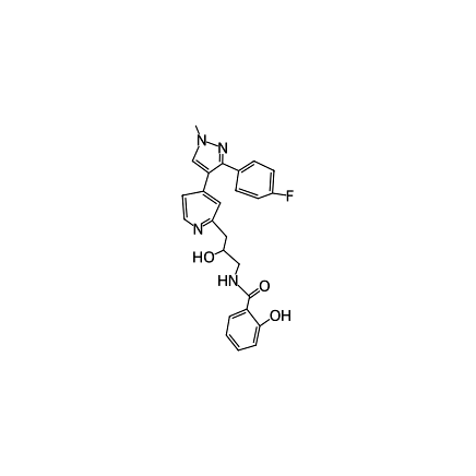 Cn1cc(-c2ccnc(CC(O)CNC(=O)c3ccccc3O)c2)c(-c2ccc(F)cc2)n1